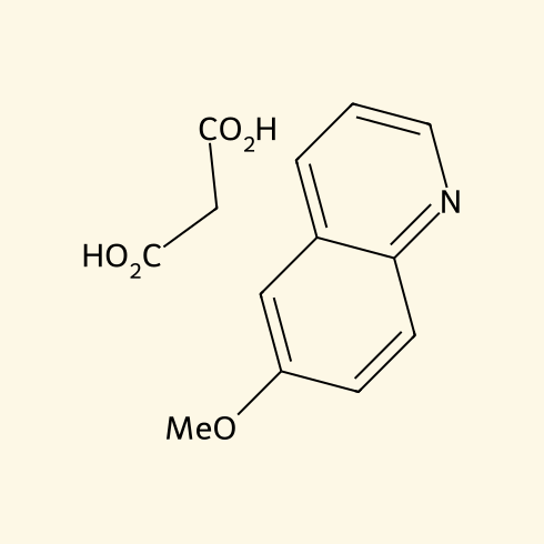 COc1ccc2ncccc2c1.O=C(O)CC(=O)O